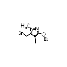 CCOc1nn(C)c(CBr)c1I